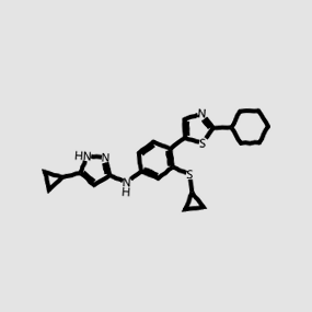 c1cc(-c2cnc(C3CCCCC3)s2)c(SC2CC2)cc1Nc1cc(C2CC2)[nH]n1